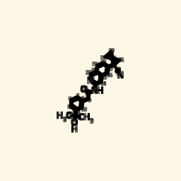 CC(C)(O)c1cccc(CC(=O)Nc2cc3cc([C@@]4(C#N)CC45CC5)ccc3cn2)c1